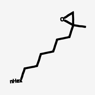 CCCCCCCCCCCCC1(C)CO1